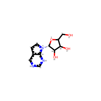 OCC1O[C@@H](n2ccc3cncnc32)C(O)C1O